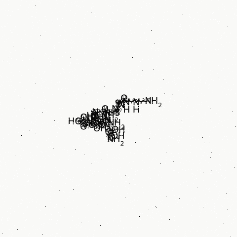 NCCCCNCCCNC(=O)c1csc(-c2csc(CCNC(=O)CCc3cn(CC4OC(OC5C(O)C(N)CC(N)C5CCC5OC(CN)C(O)C5O)C(O)C4ONC4COC5C(O)C(O)C45CN)nn3)n2)n1